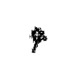 C=CC(=O)Nc1cccc(Oc2nc(Nc3cnn(C)c3)nc3c2c(-c2cccnc2)cn3COCC[Si](C)(C)C)c1